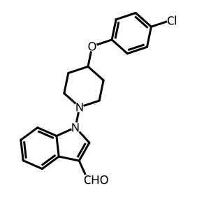 O=Cc1cn(N2CCC(Oc3ccc(Cl)cc3)CC2)c2ccccc12